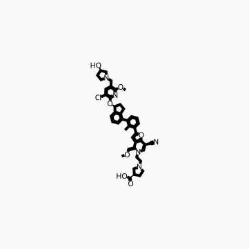 CO/C=C1/c2cc(-c3cccc(-c4cccc5c4CC[C@@H]5Oc4nc(OC)c(CN5CC[C@@H](O)C5)cc4Cl)c3C)oc2C(C#N)=CN1CCN1CC[C@@H](C(=O)O)C1